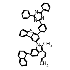 C=C/C=C\c1c(C)n(-c2cc(-c3cccc(-c4nc(-c5ccccc5)nc(-c5ccccc5)n4)c3)c3sc4ccccc4c3c2)c2cc(-c3cccc4ccccc34)ccc12